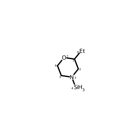 CCC1CN([SiH3])CCO1